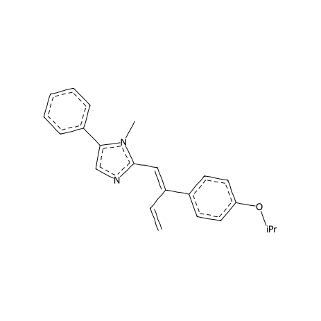 C=C/C(=C\c1ncc(-c2ccccc2)n1C)c1ccc(OC(C)C)cc1